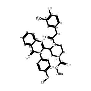 CCOc1ccc(-n2c(C3CN(C(=O)OC(C)(C)C)CCN3C(=O)Cc3ccc(F)c(C(F)(F)F)c3)nc3ccccc3c2=O)cc1